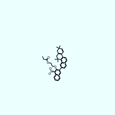 CCC(=O)OCCOc1c(-c2ccc3ccc4c(c3c2)C(C)(C)CC2=C4C=CC(C)(C)C2)cc2ccccc2c1[N+](=O)[O-]